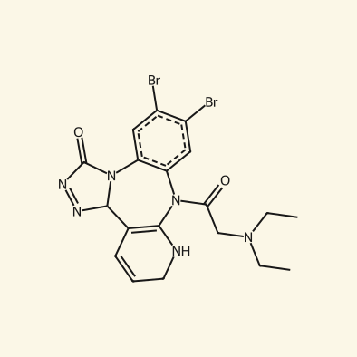 CCN(CC)CC(=O)N1C2=C(C=CCN2)C2N=NC(=O)N2c2cc(Br)c(Br)cc21